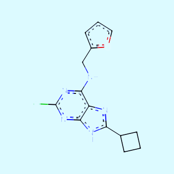 Clc1nc(NCc2ccco2)c2nc(C3CCC3)[nH]c2n1